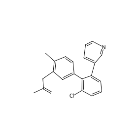 C=C(C)Cc1cc(-c2c(Cl)cccc2-c2cccnc2)ccc1C